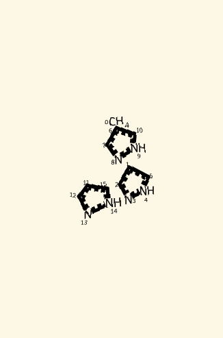 C.c1cn[nH]c1.c1cn[nH]c1.c1cn[nH]c1